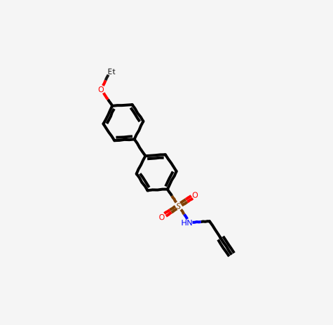 C#CCNS(=O)(=O)c1ccc(-c2ccc(OCC)cc2)cc1